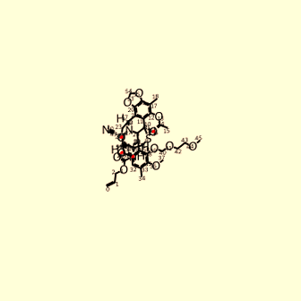 C=CCOC(=O)NC1CS[C@@H]2c3c(OC(C)=O)c(C)c4c(c3[C@H](COC1=O)N1C2[C@H]2c3c(cc(C)c(OC)c3OCOCCOC)C[C@@H]([C@@H]1C#N)N2C)OCO4